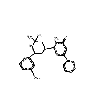 COc1cccc(C2CN(c3nc(-c4ccncc4)cc(=O)n3C)CC(C)(C)N2)c1